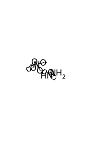 CCOCCN(CCOc1ccc(C(=O)Nc2ccccc2N)cc1)C(=O)c1cc2ccccc2o1